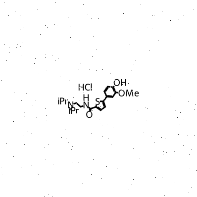 COc1cc(-c2ccc(C(=O)NCCN(C(C)C)C(C)C)s2)ccc1O.Cl